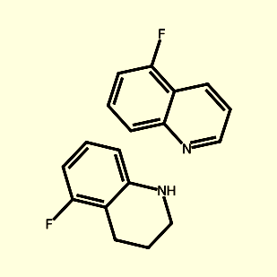 Fc1cccc2c1CCCN2.Fc1cccc2ncccc12